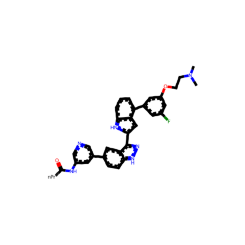 CCCC(=O)Nc1cncc(-c2ccc3[nH]nc(-c4cc5c(-c6cc(F)cc(OCCN(C)C)c6)cccc5[nH]4)c3c2)c1